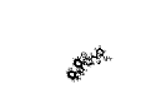 CC(C)[C@H]1CCCN1C(=O)CN1CCN(c2cccc3c2cnn3-c2ccccc2F)C1=O